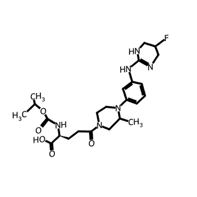 CC(C)OC(=O)N[C@@H](CCC(=O)N1CCN(c2cccc(NC3=NCC(F)CN3)c2)C(C)C1)C(=O)O